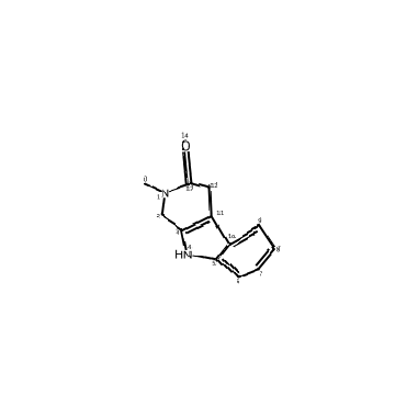 CN1Cc2[nH]c3ccccc3c2CC1=O